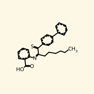 CCCCCCC(=Nc1ccccc1C(=O)O)C(=S)c1ccc(-c2ccccc2)cc1